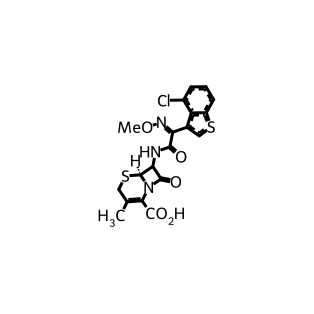 CON=C(C(=O)NC1C(=O)N2C(C(=O)O)=C(C)CS[C@@H]12)c1csc2cccc(Cl)c12